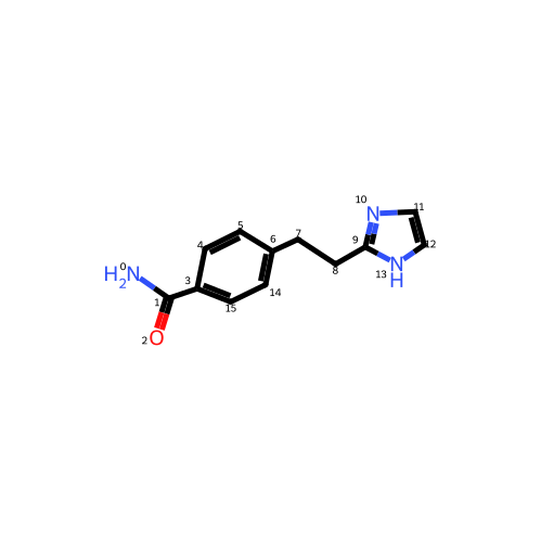 NC(=O)c1ccc(CCc2ncc[nH]2)cc1